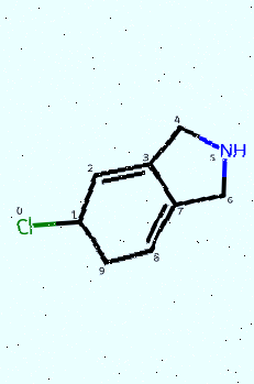 ClC1C=C2CNCC2=CC1